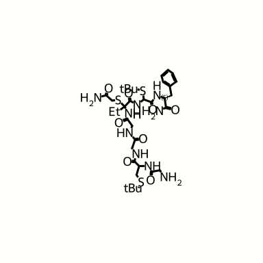 CCC(NC(=O)CNC(=O)CNC(=O)C(CSC(C)(C)C)NC(=O)CN)(SCC(N)=O)C(=O)NC(SC(C)(C)C)C(=O)N[C@@H](Cc1ccccc1)C(N)=O